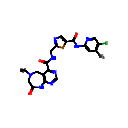 CN1CC(=O)Nc2ncnc(C(=O)NCc3ncc(C(=O)Nc4cc(C(F)(F)F)c(Cl)cn4)s3)c2C1